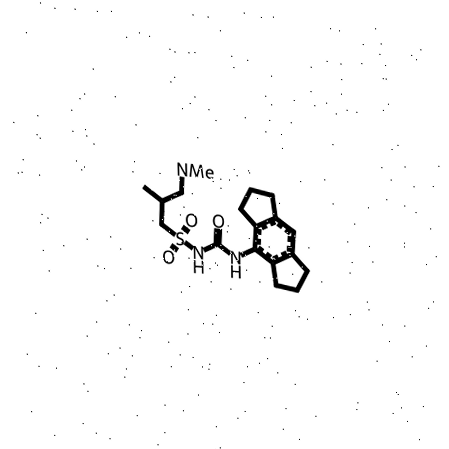 CNCC(C)CS(=O)(=O)NC(=O)Nc1c2c(cc3c1CCC3)CCC2